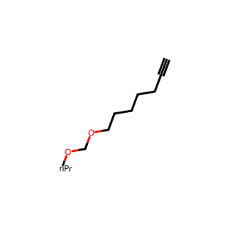 C#CCCCCCOCOCCC